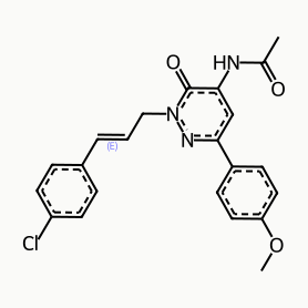 COc1ccc(-c2cc(NC(C)=O)c(=O)n(C/C=C/c3ccc(Cl)cc3)n2)cc1